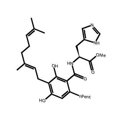 CCCCCc1cc(O)c(C/C=C(\C)CCC=C(C)C)c(O)c1C(=O)N[C@@H](Cc1cnc[nH]1)C(=O)OC